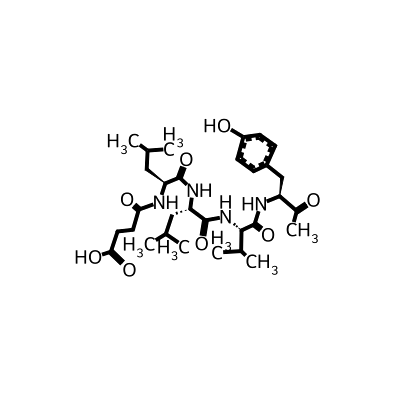 CC(=O)[C@H](Cc1ccc(O)cc1)NC(=O)[C@@H](NC(=O)[C@H](CC(C)C)NC(=O)[C@H](CC(C)C)NC(=O)CCC(=O)O)C(C)C